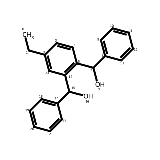 CCc1ccc(C(O)c2ccccc2)c(C(O)c2ccccc2)c1